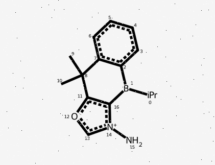 CC(C)B1c2ccccc2C(C)(C)c2oc[n+](N)c21